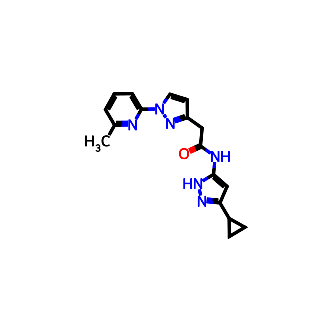 Cc1cccc(-n2ccc(CC(=O)Nc3cc(C4CC4)n[nH]3)n2)n1